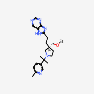 CCOC[C@]1(CCc2nc3ncncc3[nH]2)CCN(C(C)(C)c2ccc(C)nc2)C1